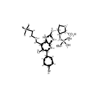 CC(C)(C)[Si](O)(O[C@@H]1[C@@H](C(=O)O)OC[C@H]1Oc1nc2nc(-c3ccc(Br)cc3)c(Cl)c(COCC[Si](C)(C)C)c2[nH]1)C(C)(C)C